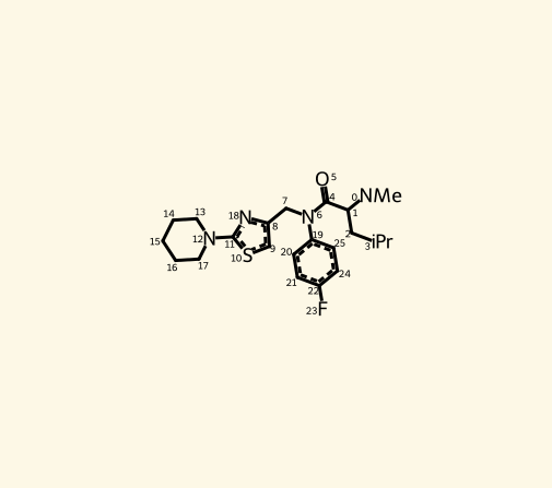 CNC(CC(C)C)C(=O)N(Cc1csc(N2CCCCC2)n1)c1ccc(F)cc1